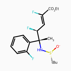 CCOC(=O)/C(F)=C/[C@H](F)[C@](C)(N[S@+]([O-])C(C)(C)C)c1ccccc1F